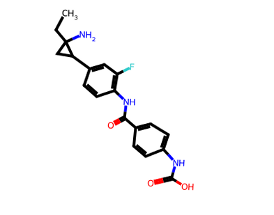 CCC1(N)CC1c1ccc(NC(=O)c2ccc(NC(=O)O)cc2)c(F)c1